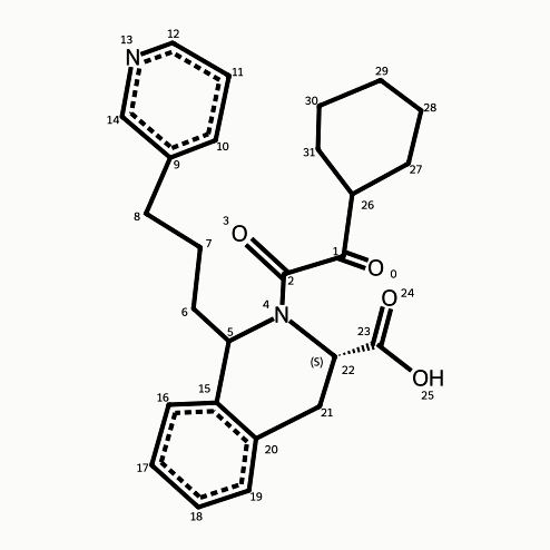 O=C(C(=O)N1C(CCCc2cccnc2)c2ccccc2C[C@H]1C(=O)O)C1CCCCC1